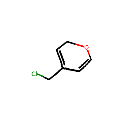 ClCC1=CCOC=C1